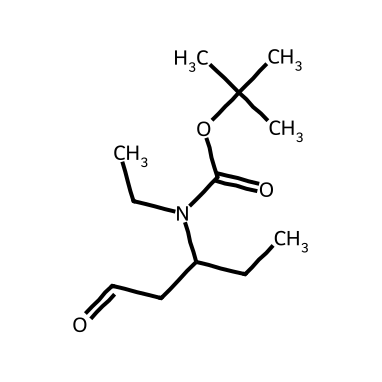 CCC(CC=O)N(CC)C(=O)OC(C)(C)C